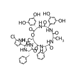 C[C@H]1NC(=O)[C@@H](Cc2ccccc2)NC(=O)[C@H](NC(=O)[C@H](Cc2ccccc2)NC(=O)c2ccc(Cl)[nH]2)[C@@H](C)OC(=O)[C@H](c2cc(O)cc(O)c2)NC(=O)[C@@H](c2cc(O)cc(O)c2)NC1=O